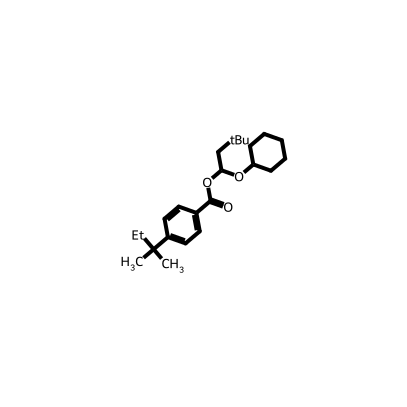 CCC(C)(C)c1ccc(C(=O)OC(CC(C)(C)C)OC2CCCCC2)cc1